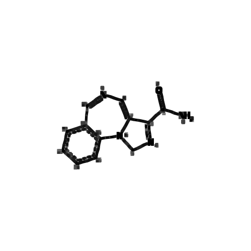 NC(=O)C1=NCN2C1=CN=Cc1ccccc12